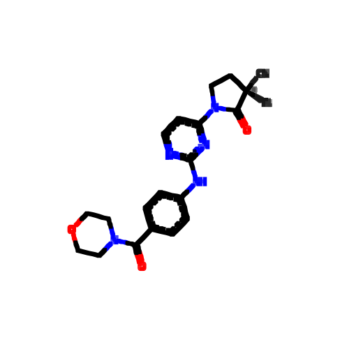 CC[C@]1(C#N)CCN(c2ccnc(Nc3ccc(C(=O)N4CCOCC4)cc3)n2)C1=O